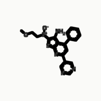 COCC[S@@+]([O-])c1sc2nc(-c3cncnc3)cc(-c3ccccc3)c2c1N